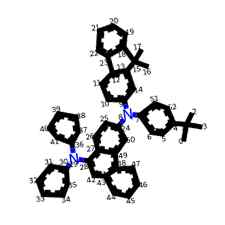 CC(C)(C)c1ccc(N(c2ccc3c(c2)C(C)(C)c2ccccc2-3)c2ccc3c(N(c4ccccc4)c4ccccc4)cc4ccccc4c3c2)cc1